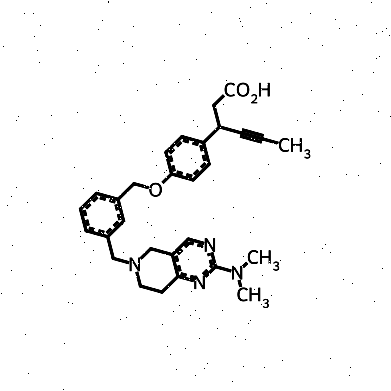 CC#CC(CC(=O)O)c1ccc(OCc2cccc(CN3CCc4nc(N(C)C)ncc4C3)c2)cc1